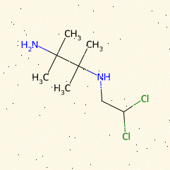 CC(C)(N)C(C)(C)NCC(Cl)Cl